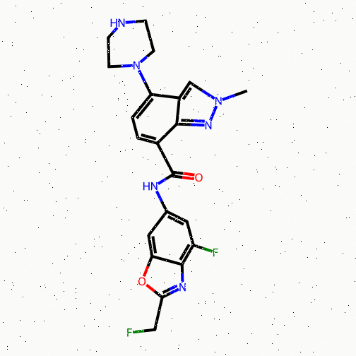 Cn1cc2c(N3CCNCC3)ccc(C(=O)Nc3cc(F)c4nc(CF)oc4c3)c2n1